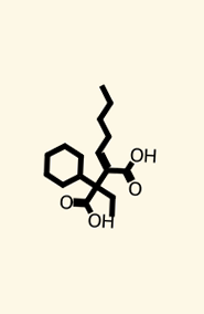 CCCCC=C(C(=O)O)C(CC)(C(=O)O)C1CCCCC1